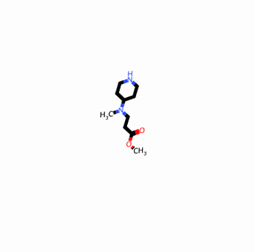 COC(=O)CCN(C)C1CCNCC1